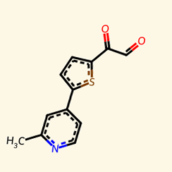 Cc1cc(-c2ccc(C(=O)C=O)s2)ccn1